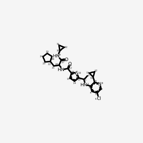 CC(Nc1cc(Cl)cnc1C1CC1)c1ccc(C(=O)NC(CC2CCCC2)C(=O)NC2CC2)s1